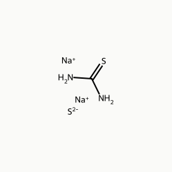 NC(N)=S.[Na+].[Na+].[S-2]